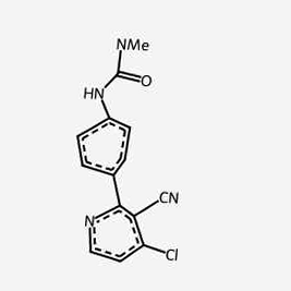 CNC(=O)Nc1ccc(-c2nccc(Cl)c2C#N)cc1